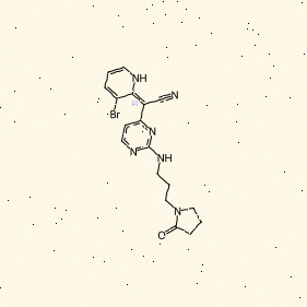 N#C/C(=C1\NC=CC=C1Br)c1ccnc(NCCCN2CCCC2=O)n1